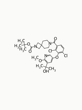 COc1ncc(Oc2c(Cl)ccc(C(=O)N3CCC4(CC3)CN(C(=O)OC(C)(C)C)C4)c2Cl)cc1C(C)(C)O